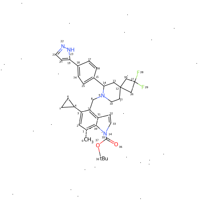 Cc1cc(C2CC2)c(CN2CCC3(CC2c2ccc(-c4ccn[nH]4)cc2)CC(F)(F)C3)c2ccn(C(=O)OC(C)(C)C)c12